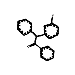 O=C(c1ccccc1)C(c1ccccc1)c1cccc(F)c1